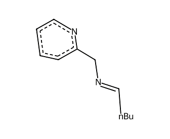 [CH2]CCCC=NCc1ccccn1